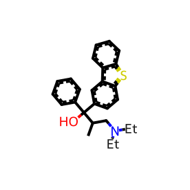 CCN(CC)CC(C)C(O)(c1ccccc1)c1ccc2sc3ccccc3c2c1